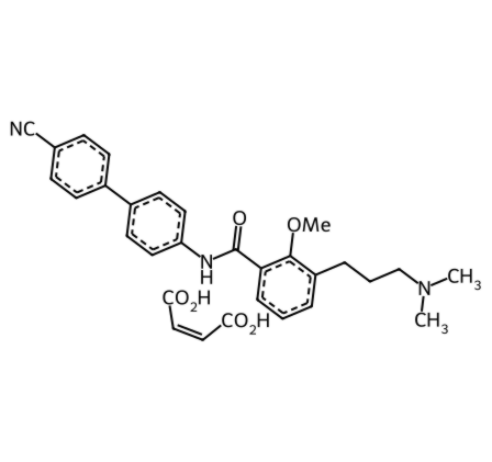 COc1c(CCCN(C)C)cccc1C(=O)Nc1ccc(-c2ccc(C#N)cc2)cc1.O=C(O)/C=C\C(=O)O